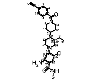 C#Cc1ccc(C(=O)N2CCC(N3CCN(c4nc(N)c(C(=O)NC)nc4Cl)C[C@@H]3CC)CC2)cc1